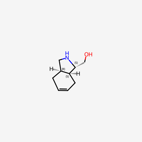 OC[C@H]1NC[C@@H]2CC=CC[C@@H]21